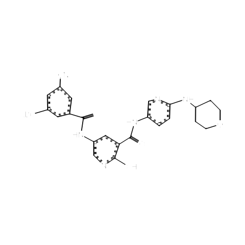 Cc1ncc(NC(=O)c2cc(C#N)cc(C(C)(C)C)c2)cc1C(=O)Nc1ccc(NC2CCOCC2)nc1